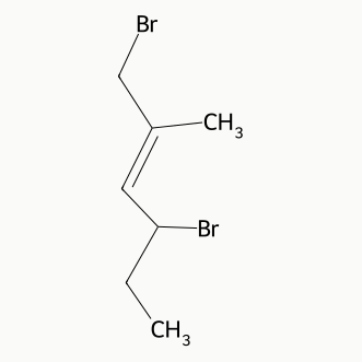 CCC(Br)/C=C(\C)CBr